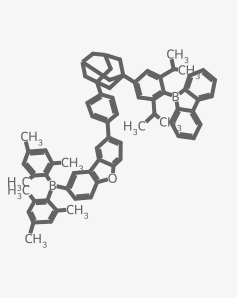 Cc1cc(C)c(B(c2ccc3oc4ccc(-c5ccc(C67CC8CC(C6)CC(c6cc(C(C)C)c(B9c%10ccccc%10-c%10ccccc%109)c(C(C)C)c6)(C8)C7)cc5)cc4c3c2)c2c(C)cc(C)cc2C)c(C)c1